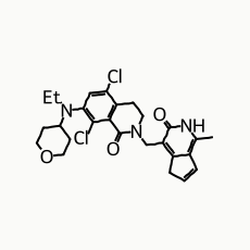 CCN(c1cc(Cl)c2c(c1Cl)C(=O)N(Cc1c3c(c(C)[nH]c1=O)C=CC3)CC2)C1CCOCC1